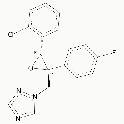 Fc1ccc([C@]2(Cn3cncn3)O[C@@H]2c2ccccc2Cl)cc1